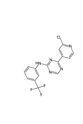 FC(F)(F)c1cccc(Nc2ncnc(-c3ccnc(Cl)c3)n2)c1